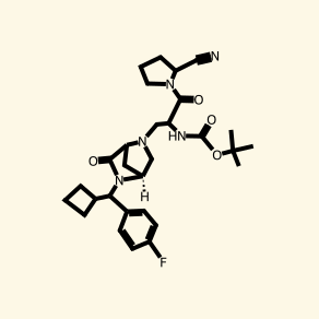 CC(C)(C)OC(=O)NC(CN1C[C@@H]2CC1C(=O)N2C(c1ccc(F)cc1)C1CCC1)C(=O)N1CCCC1C#N